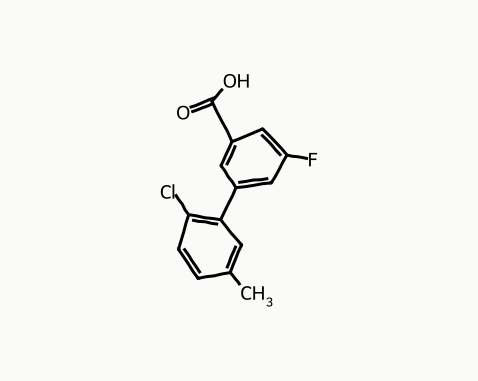 Cc1ccc(Cl)c(-c2cc(F)cc(C(=O)O)c2)c1